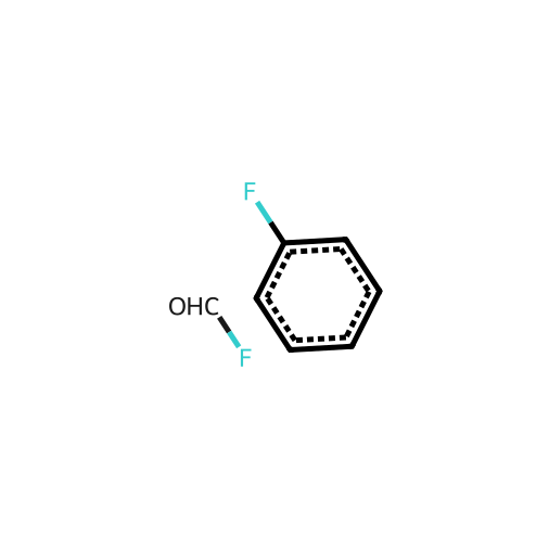 Fc1ccccc1.O=CF